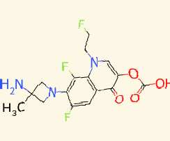 CC1(N)CN(c2c(F)cc3c(=O)c(OC(=O)O)cn(CCF)c3c2F)C1